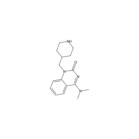 CN(C)c1nc(=O)n(CC2CCNCC2)c2ccccc12